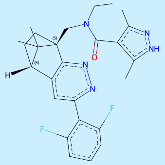 CCN(C[C@@]12CC[C@@H](c3cc(-c4c(F)cccc4F)nnc31)C2(C)C)C(=O)c1c(C)n[nH]c1C